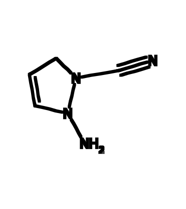 N#CN1CC=CN1N